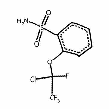 NS(=O)(=O)c1ccccc1OC(F)(Cl)C(F)(F)F